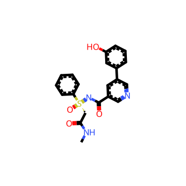 CNC(=O)C[S@@](=O)(=NC(=O)c1cncc(-c2cccc(O)c2)c1)c1ccccc1